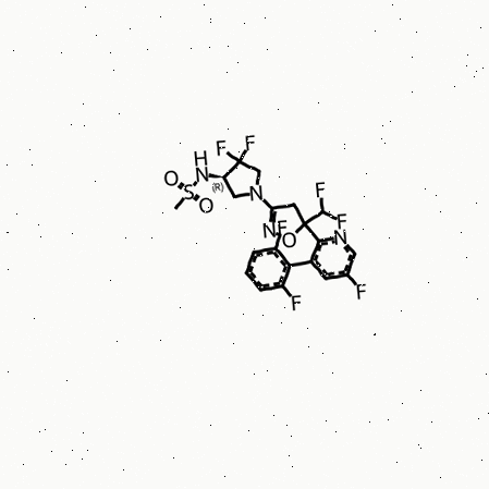 CS(=O)(=O)N[C@@H]1CN(C2=NOC(c3ncc(F)cc3-c3c(F)cccc3F)(C(F)F)C2)CC1(F)F